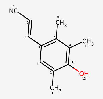 Cc1cc(/C=C/C#N)c(C)c(C)c1O